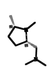 C[C@H]1CC[C@@H](CN(C)C)N1C